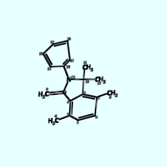 C=C1c2c(C)ccc(C)c2C(C)(C)N1c1ccccc1